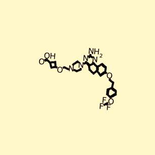 Nc1nc2c(c(N3CCN(CCOC4CC(C(=O)O)C4)CC3)n1)CCc1cc(OCCc3ccc(OC(F)(F)F)cc3)ccc1-2